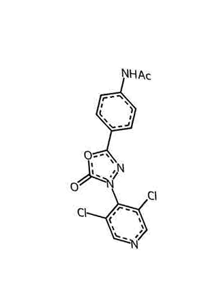 CC(=O)Nc1ccc(-c2nn(-c3c(Cl)cncc3Cl)c(=O)o2)cc1